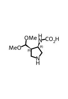 COC(OC)[C@@H]1CNC[C@@H]1NC(=O)O